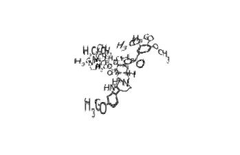 CCN(CC)P1(=NC(C)(C)C)N(C)CCCN1C.COC(=O)[C@H]1[C@H]2C[C@@H]3c4[nH]c5cc(OC)ccc5c4CCN3C[C@H]2C[C@@H](OC(=O)c2cc(OC)c(OC)c(OC)c2)[C@@H]1OC